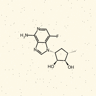 C[C@H]1C[C@@H](n2cnc3c(N)ncc(F)c32)[C@H](O)[C@@H]1O